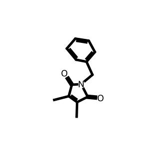 CC1=C(C)C(=O)N(Cc2ccccc2)C1=O